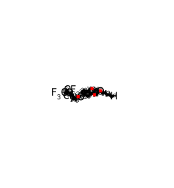 [2H]CCCCCOc1ccc2c(c1)CCC1C2CC[C@@]2(C)C1CC[C@@H]2OCCN(C)CCOC(C(F)(F)F)(C(F)(F)F)C(F)(F)F